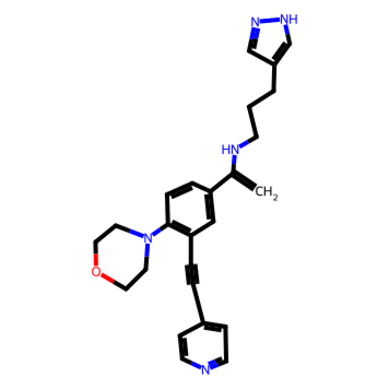 C=C(NCCCc1cn[nH]c1)c1ccc(N2CCOCC2)c(C#Cc2ccncc2)c1